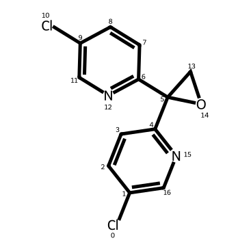 Clc1ccc(C2(c3ccc(Cl)cn3)CO2)nc1